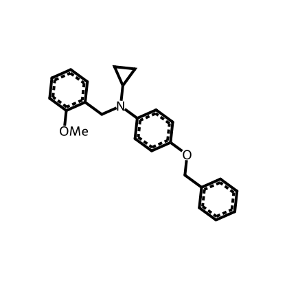 COc1ccccc1CN(c1ccc(OCc2ccccc2)cc1)C1CC1